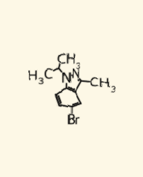 Cc1nn(C(C)C)c2ccc(Br)cc12